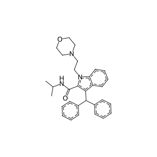 CC(C)NC(=O)c1c(C(c2ccccc2)c2ccccc2)c2ccccc2n1CCN1CCOCC1